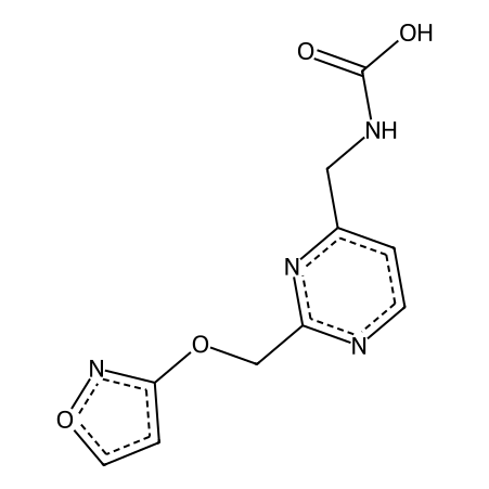 O=C(O)NCc1ccnc(COc2ccon2)n1